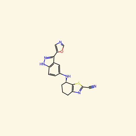 N#Cc1nc2c(s1)[C@H](Nc1ccc3[nH]nc(-c4cnco4)c3c1)CCC2